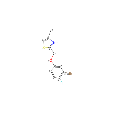 Cc1csc(COc2ccc(F)c(Br)c2)n1